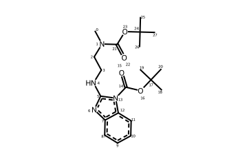 CN(CCNc1nc2[c]cccc2n1C(=O)OC(C)(C)C)C(=O)OC(C)(C)C